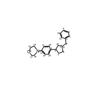 c1ccc(CN2CCC(c3ccc(N4CCOCC4)cc3)C2)cc1